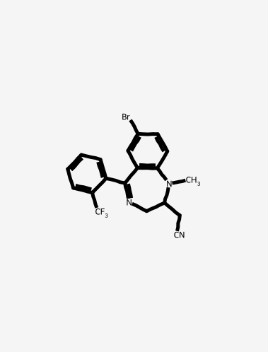 CN1c2ccc(Br)cc2C(c2ccccc2C(F)(F)F)=NCC1CC#N